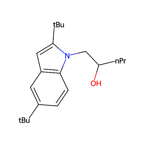 CCCC(O)Cn1c(C(C)(C)C)cc2cc(C(C)(C)C)ccc21